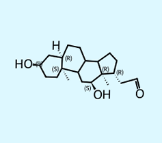 C[C@]12C(CC[C@@H]1CC=O)C1CC[C@@H]3C[C@H](O)CC[C@]3(C)C1C[C@@H]2O